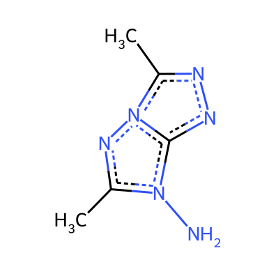 Cc1nn2c(C)nnc2n1N